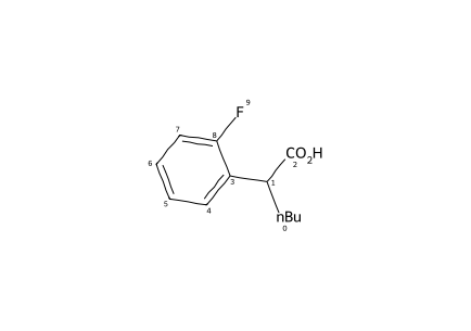 CCCCC(C(=O)O)c1ccccc1F